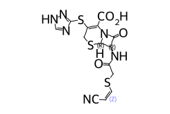 N#C/C=C\SCC(=O)N[C@@H]1C(=O)N2C(C(=O)O)=C(Sc3nc[nH]n3)CS[C@H]12